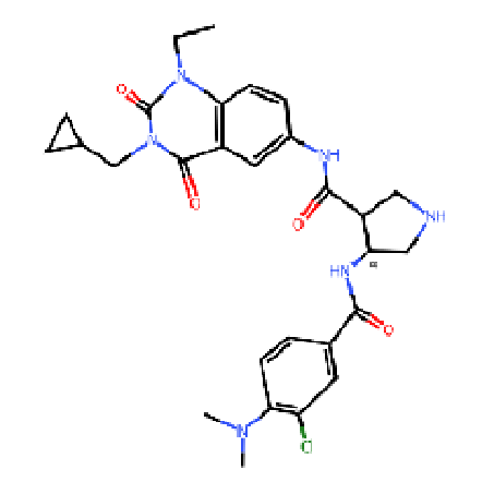 CCn1c(=O)n(CC2CC2)c(=O)c2cc(NC(=O)C3CNC[C@H]3NC(=O)c3ccc(N(C)C)c(Cl)c3)ccc21